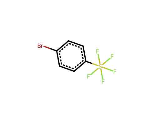 FS(F)(F)(F)(F)c1ccc(Br)cc1